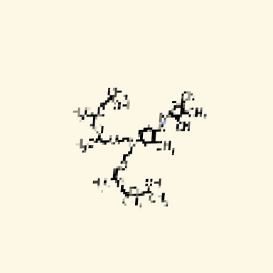 Cc1cc(N(CCOCC(C)OCC(C)OCC(C)O)CCOCC(C)OCC(C)OCC(C)O)ccc1/N=N/c1sc(C#N)c(C)c1C#N